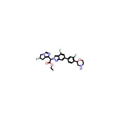 CCOC(=O)C(c1ncn2c1C[C@@H](F)C2)n1cc2c(F)cc(-c3ccc(C4CNCCO4)c(F)c3)cc2n1